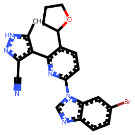 Cc1[nH]nc(C#N)c1-c1nc(-n2cnc3ccc(Br)cc32)ccc1C1CCCO1